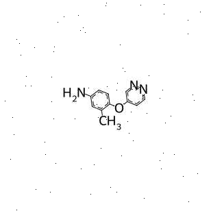 Cc1cc(N)ccc1Oc1ccnnc1